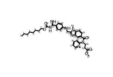 CCCCCCCCOC(=O)NC(=N)c1ccc(NCc2nc3cc(C(=O)N(CCC(=O)OC)c4ccccn4)ccc3n2C)cc1